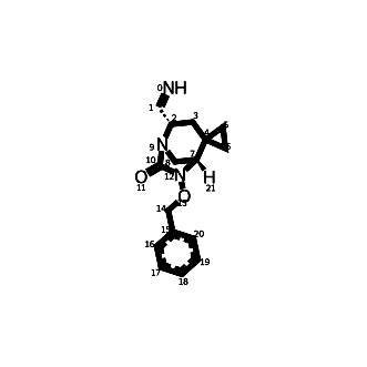 N=C[C@@H]1CC2(CC2)[C@H]2CN1C(=O)N2OCc1ccccc1